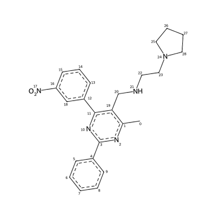 Cc1nc(-c2ccccc2)nc(-c2cccc([N+](=O)[O-])c2)c1CNCCN1CCCC1